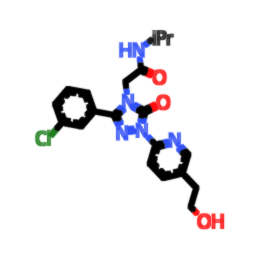 CC(C)NC(=O)Cn1c(-c2cccc(Cl)c2)nn(-c2ccc(CCO)cn2)c1=O